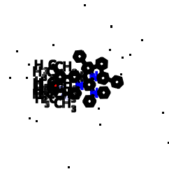 C=C/C(=C\C(=C/C(C)(C)C)c1cccc(N2c3cc(-c4cc(C(C)(C)C)cc(C(C)(C)C)c4)ccc3B3c4cc(-c5ccccc5)cc5c4N(c4ccc(-c6ccccc6)cc4-c4ccccc4-5)c4cc(N(c5ccccc5)c5ccccc5)cc2c43)c1)C(C)(C)C